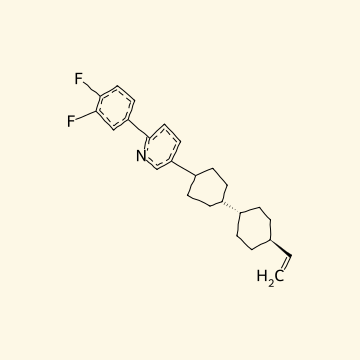 C=C[C@H]1CC[C@H](C2CCC(c3ccc(-c4ccc(F)c(F)c4)nc3)CC2)CC1